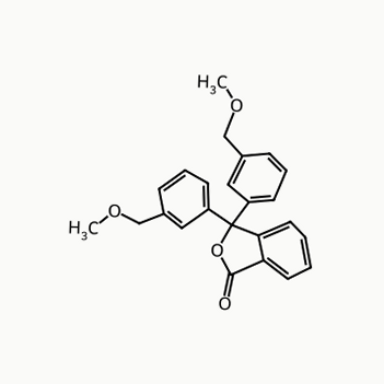 COCc1cccc(C2(c3cccc(COC)c3)OC(=O)c3ccccc32)c1